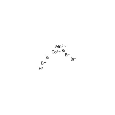 [Br-].[Br-].[Br-].[Br-].[Br-].[Co+2].[H+].[Mn+2]